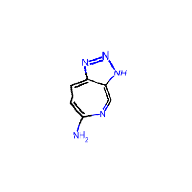 NC1=CC=c2nn[nH]c2=C=N1